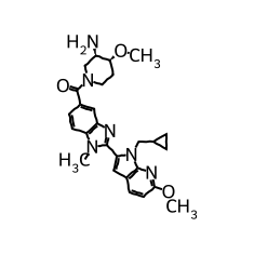 COc1ccc2cc(-c3nc4cc(C(=O)N5CC[C@H](OC)[C@H](N)C5)ccc4n3C)n(CC3CC3)c2n1